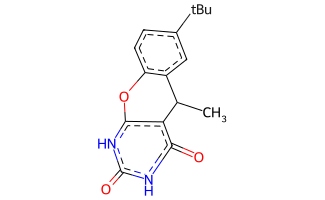 CC1c2cc(C(C)(C)C)ccc2Oc2[nH]c(=O)[nH]c(=O)c21